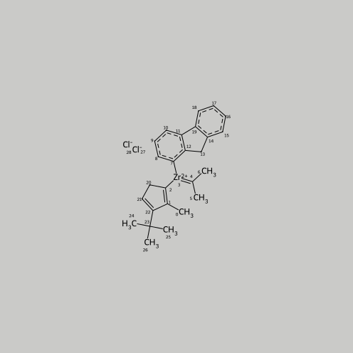 CC1=[C]([Zr+2](=[C](C)C)[c]2cccc3c2Cc2ccccc2-3)CC=C1C(C)(C)C.[Cl-].[Cl-]